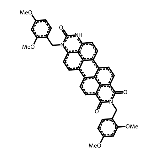 COc1ccc(Cn2c(=O)c3ccc4c5ccc6[nH]c(=O)n(Cc7ccc(OC)cc7OC)c7ccc(c8ccc(c2=O)c3c48)c5c67)c(OC)c1